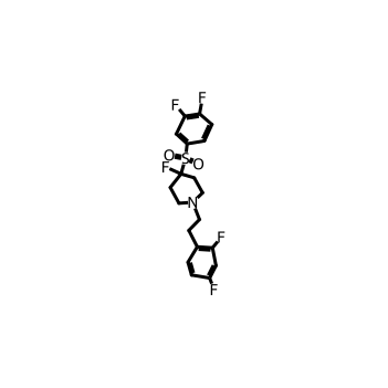 O=S(=O)(c1ccc(F)c(F)c1)C1(F)CCN(CCc2ccc(F)cc2F)CC1